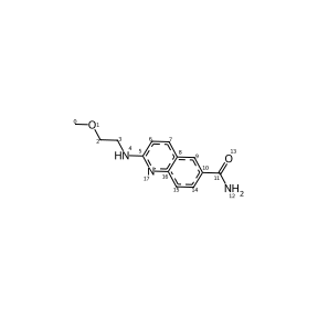 COCCNc1ccc2cc(C(N)=O)ccc2n1